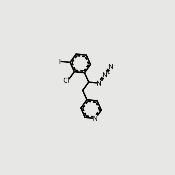 [N-]=[N+]=NC(Cc1ccncc1)c1cccc(I)c1Cl